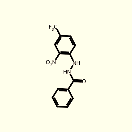 O=C(NNc1ccc(C(F)(F)F)cc1[N+](=O)[O-])c1ccccc1